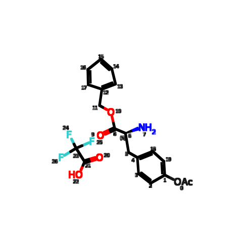 CC(=O)Oc1ccc(C[C@H](N)C(=O)OCc2ccccc2)cc1.O=C(O)C(F)(F)F